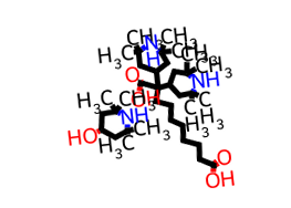 CC1(C)CC(C(CCCCCCCC(=O)O)(C(=O)O)C2CC(C)(C)NC(C)(C)C2)CC(C)(C)N1.CC1(C)CC(O)CC(C)(C)N1